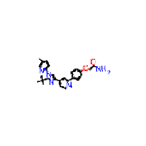 Cc1ccc(-n2cc(-c3ccnc(-c4ccc(OCC(N)=O)cc4)c3)nc2C(C)(C)C)nc1